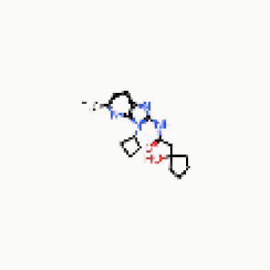 O=C(CC1(O)CCCC1)Nc1nc2ccc(C(F)(F)F)nc2n1C1CCC1